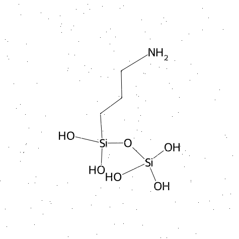 NCCC[Si](O)(O)O[Si](O)(O)O